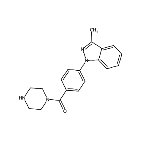 Cc1nn(-c2ccc(C(=O)N3CCNCC3)cc2)c2ccccc12